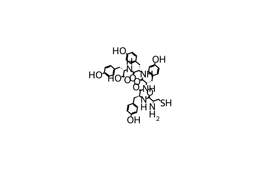 N[C@@H](CS)C(=O)N[C@@H](Cc1ccc(O)cc1)C(=O)N[C@@H](Cc1ccc(O)cc1)C(=O)N[C@@H](Cc1ccc(O)cc1)C(=O)N[C@@H](Cc1ccc(O)cc1)C(=O)O